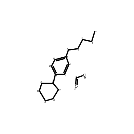 CCCCCc1ccc(C2CCCCC2)cc1.O=CCl